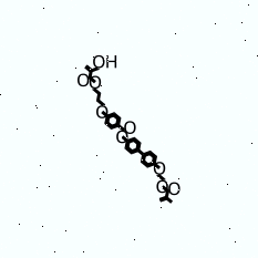 C=C(C)C(=O)OCCOc1ccc(-c2ccc(OC(=O)c3ccc(OCCCCOC(=O)C(=C)CO)cc3)cc2)cc1